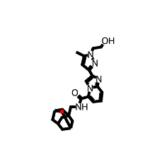 Cc1cc(-c2cn3c(C(=O)NCC45CC6CC(CC(C6)C4)C5)cccc3n2)nn1CCO